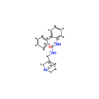 O=C(NCC1CN2CCC1CC2)Nc1ccccc1-c1ccccc1